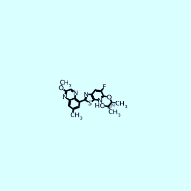 COc1cnc2c(-c3nc4cc(F)c(O[C@@H](C)[C@@H](C)O)nc4s3)cc(C)cc2n1